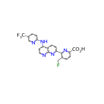 O=C(O)c1ccc(CF)c(-c2ccc3c(Nc4ccc(C(F)(F)F)cn4)ccnc3n2)n1